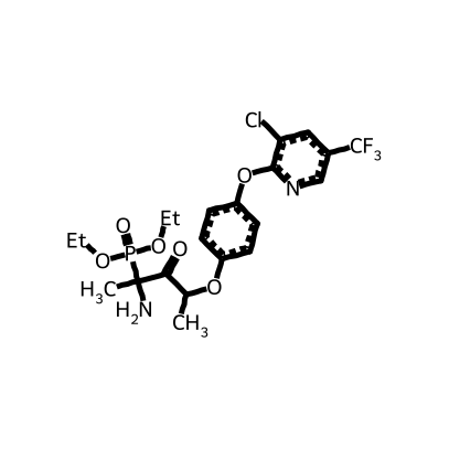 CCOP(=O)(OCC)C(C)(N)C(=O)C(C)Oc1ccc(Oc2ncc(C(F)(F)F)cc2Cl)cc1